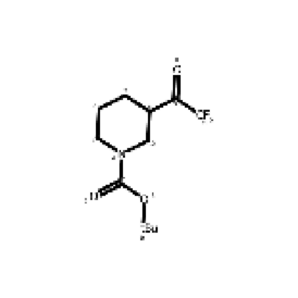 CC(C)(C)OC(=O)N1CCCC(C(=O)C(F)(F)F)C1